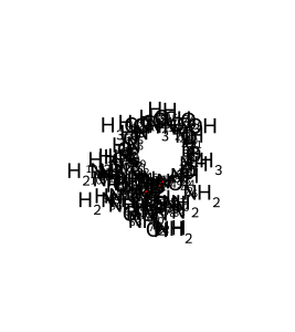 CC(C)CC1NC(=O)C(C)NC(=O)C(C(C)O)NC(=O)C(CCC(=O)O)NC(=O)C2CCCN2C(=O)C(C)NC(=O)C(CCCCN)NC(=O)C2CSSCC(C(=O)NC(CCC(N)=O)C(=O)NC(CCC(N)=O)C(=O)NC(Cc3cnc[nH]3)C(N)=O)NC(=O)C(CCCNC(=N)N)NC(=O)C(CCCNC(=N)N)NC(=O)C(C)NC(=O)C(CSSCC(N)C(=O)NC(CC(N)=O)C(=O)N2)NC1=O